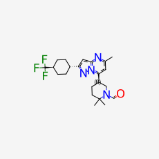 Cc1cc([C@@H]2CCC(C)(C)N(C=O)C2)n2nc([C@H]3CC[C@H](C(F)(F)F)CC3)cc2n1